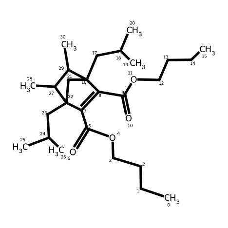 CCCCOC(=O)C1=C(C(=O)OCCCC)C2(CC(C)C)CC1(CC(C)C)C(C)C2C